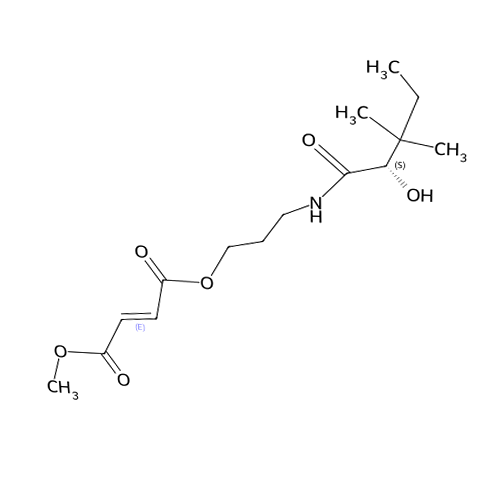 CCC(C)(C)[C@H](O)C(=O)NCCCOC(=O)/C=C/C(=O)OC